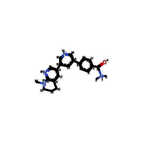 CN(C)C(=O)c1ccc(-c2cncc(-c3cnc4c(c3)CCCN4C)c2)cc1